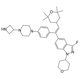 CC1(C)CC(C=C(c2ccc(N3CCN(C4CNC4)CC3)cc2)c2ccc3c(c2)c(F)nn3C2CCOCC2)CC(C)(C)O1